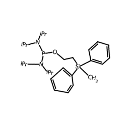 CC(C)N(C(C)C)P(OCC[Si](C)(c1ccccc1)c1ccccc1)N(C(C)C)C(C)C